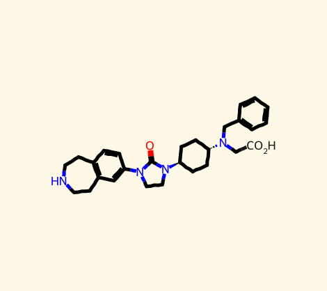 O=C(O)CN(Cc1ccccc1)[C@H]1CC[C@H](N2CCN(c3ccc4c(c3)CCNCC4)C2=O)CC1